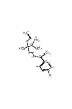 C=CCC(O)(CCNC(C)c1ccc(Br)cc1)C(C)C